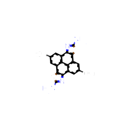 CC(C)(C)c1cc2c3nc(N)sc3c3cc(C(C)(C)C)cc4c5nc(N)sc5c(c1)c2c43